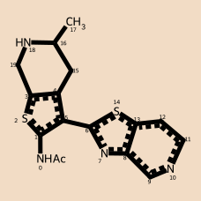 CC(=O)Nc1sc2c(c1-c1nc3cnccc3s1)CC(C)NC2